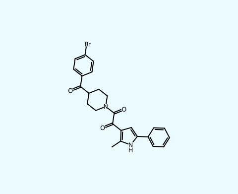 Cc1[nH]c(-c2ccccc2)cc1C(=O)C(=O)N1CCC(C(=O)c2ccc(Br)cc2)CC1